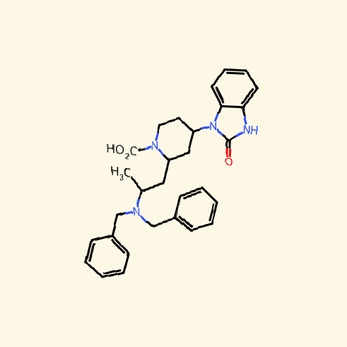 CC(CC1CC(n2c(=O)[nH]c3ccccc32)CCN1C(=O)O)N(Cc1ccccc1)Cc1ccccc1